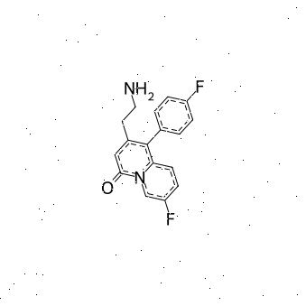 NCCc1cc(=O)n2cc(F)ccc2c1-c1ccc(F)cc1